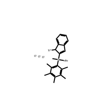 CCCC[Si](C)(C1=Cc2ccccc2[CH]1[Ti+3])c1c(C)c(C)c(C)c(C)c1C.[Cl-].[Cl-].[Cl-]